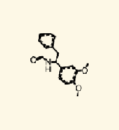 COc1ccc(C(Cc2ccccc2)NC=O)cc1OC